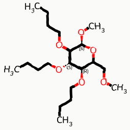 CCCCOC1[C@@H](OC)OC(COC)[C@@H](OCCCC)[C@@H]1OCCCC